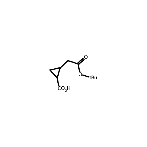 CC(C)(C)OC(=O)CC1CC1C(=O)O